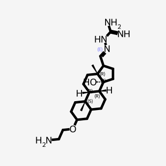 C[C@]12CCC(OCCN)CC1CC[C@@H]1[C@H]2CC[C@]2(C)C(/C=N/NC(=N)N)CC[C@@]12O